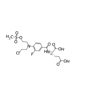 CS(=O)(=O)OCCN(CCCl)c1ccc(C(=O)N[C@@H](CCC(=O)O)C(=O)O)cc1F